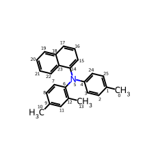 Cc1ccc(N(c2ccc(C)cc2C)c2cccc3ccccc23)cc1